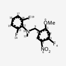 COc1cc(F)c([N+](=O)[O-])cc1CN(C)c1c(F)cccc1F